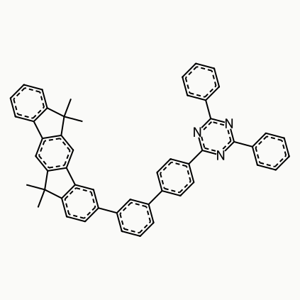 CC1(C)c2ccccc2-c2cc3c(cc21)-c1cc(-c2cccc(-c4ccc(-c5nc(-c6ccccc6)nc(-c6ccccc6)n5)cc4)c2)ccc1C3(C)C